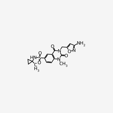 Cn1c(=O)n(Cc2cc(N)no2)c(=O)c2cc(S(=O)(=O)NC3(C)CC3)ccc21